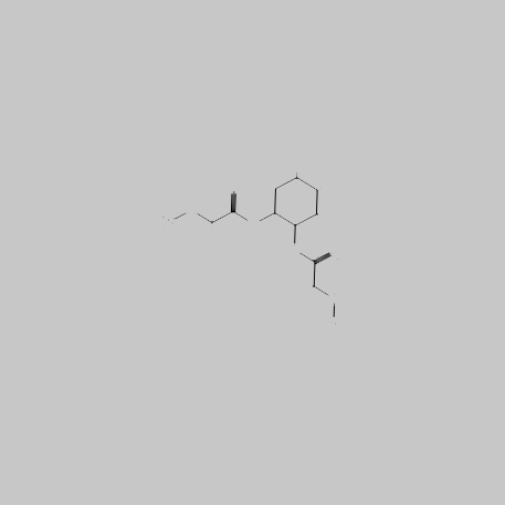 NOCC(=O)OC1CCCCC1OC(=O)CON